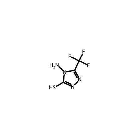 Nn1c(S)nnc1C(F)(F)F